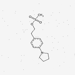 CS(=O)(=O)OCCc1ccc(N2CCCC2)cc1